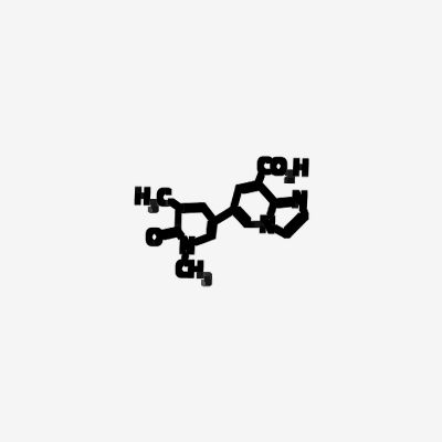 Cc1cc(-c2cc(C(=O)O)c3nccn3c2)cn(C)c1=O